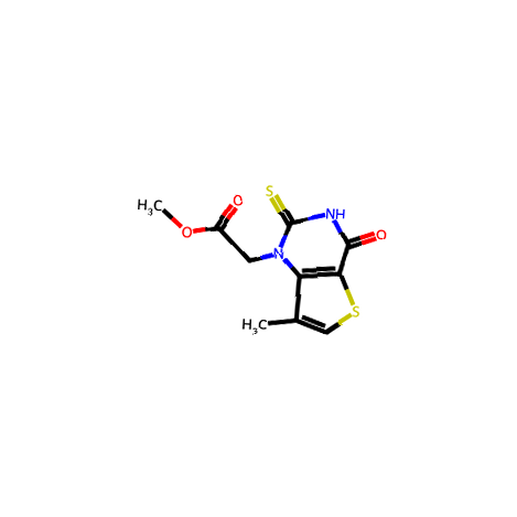 COC(=O)Cn1c(=S)[nH]c(=O)c2scc(C)c21